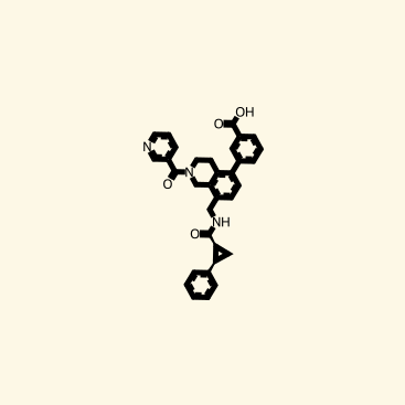 O=C(O)c1cccc(-c2ccc(CNC(=O)[C@H]3C[C@H]3c3ccccc3)c3c2CCN(C(=O)c2cccnc2)C3)c1